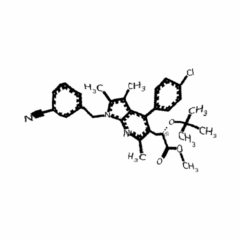 COC(=O)[C@@H](OC(C)(C)C)c1c(C)nc2c(c(C)c(C)n2Cc2cccc(C#N)c2)c1-c1ccc(Cl)cc1